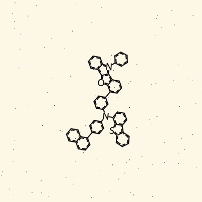 c1ccc(-n2c3ccccc3c3oc4c(-c5cccc(N(c6ccc(-c7cccc8ccccc78)cc6)c6cccc7c6sc6ccccc67)c5)cccc4c32)cc1